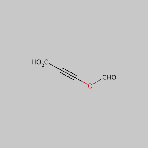 O=COC#CC(=O)O